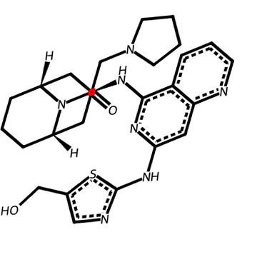 O=C(CN1CCCC1)N1[C@@H]2CCC[C@H]1C[C@H](Nc1nc(Nc3ncc(CO)s3)cc3ncccc13)C2